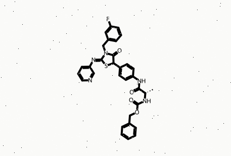 C[C@H](NC(=O)OCc1ccccc1)C(=O)Nc1ccc(C2S/C(=N\c3cccnc3)N(Cc3cccc(F)c3)C2=O)cc1